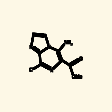 COC(=O)c1nc(Cl)c2nccn2c1N